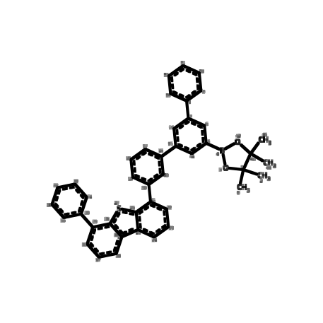 CC1(C)OB(c2cc(-c3ccccc3)cc(-c3cccc(-c4cccc5c4sc4c(-c6ccccc6)cccc45)c3)c2)OC1(C)C